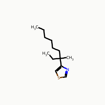 CCCCCCC(C)(CC)c1cscn1